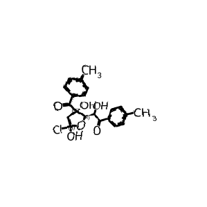 Cc1ccc(C(=O)C(O)[C@H]2O[C@](O)(Cl)C[C@@]2(O)C(=O)c2ccc(C)cc2)cc1